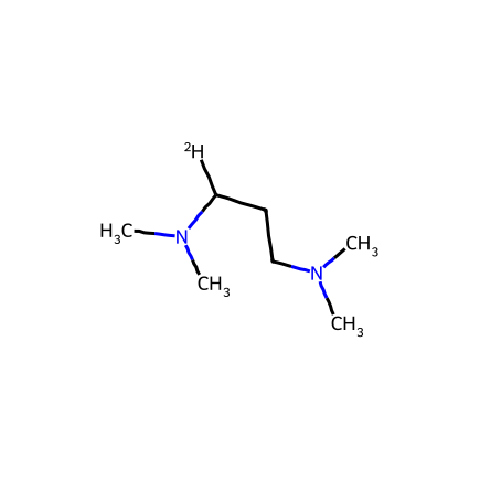 [2H]C(CCN(C)C)N(C)C